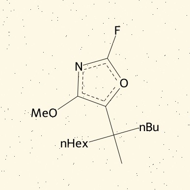 CCCCCCC(C)(CCCC)c1oc(F)nc1OC